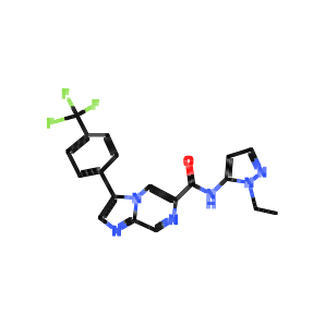 CCn1nccc1NC(=O)c1cn2c(-c3ccc(C(F)(F)F)cc3)cnc2cn1